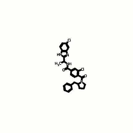 CC(NC(=O)c1ccc(C(=O)N2CCCC2Cc2ccccc2)c(Cl)c1)c1nc2cc(Cl)ccc2[nH]1